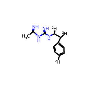 [2H]c1ccc(C([2H])C([2H])NC(=N)NC(C)=N)cc1